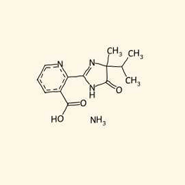 CC(C)C1(C)N=C(c2ncccc2C(=O)O)NC1=O.N